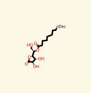 CCCCCCCCCCCCCCCCCC(=O)O[C@H](CO)[C@H]1OC(=O)[C@H](O)[C@H]1O